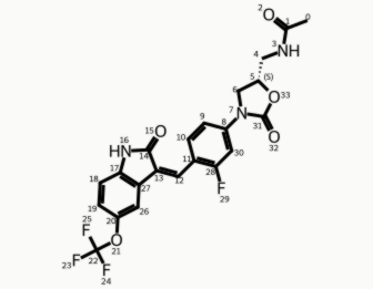 CC(=O)NC[C@H]1CN(c2ccc(C=C3C(=O)Nc4ccc(OC(F)(F)F)cc43)c(F)c2)C(=O)O1